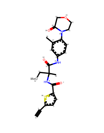 C#Cc1ccc(C(=O)NC(C)(COC)C(=O)Nc2ccc(N3CCOCC3=O)c(C)c2)s1